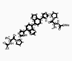 CCC(=O)N[C@H](C(=O)N1CCC[C@H]1c1ncc(-c2ccc(-c3ccc(-c4cnc([C@@H]5CCCN5C(=O)[C@@H](NC(=O)OC)C(C)C)[nH]4)c4c3N=CC4)c3scnc23)[nH]1)C(C)C